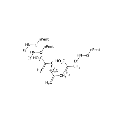 C=C(C)C(=O)O.C=C(C)C(=O)O.C=C(C)C(=O)O.CCCCCONCC.CCCCCONCC.CCCCCONCC